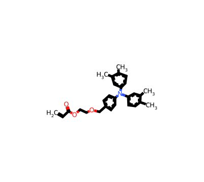 C=CC(=O)OCCOCc1ccc(N(c2ccc(C)c(C)c2)c2ccc(C)c(C)c2)cc1